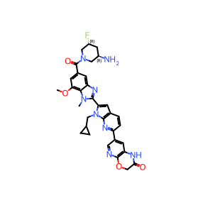 COc1cc(C(=O)N2C[C@H](N)C[C@@H](F)C2)cc2nc(-c3cc4ccc(-c5cnc6c(c5)NC(=O)CO6)nc4n3CC3CC3)n(C)c12